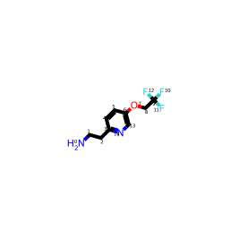 NCCc1ccc(OCC(F)(F)F)cn1